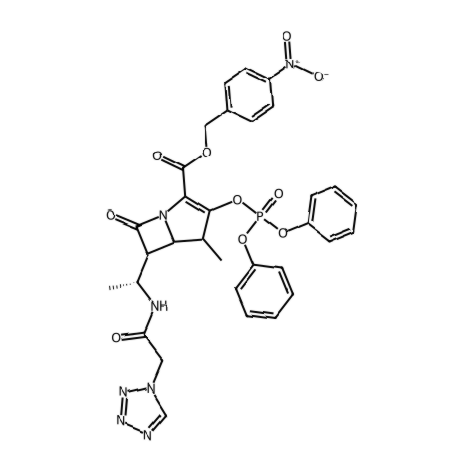 CC1C(OP(=O)(Oc2ccccc2)Oc2ccccc2)=C(C(=O)OCc2ccc([N+](=O)[O-])cc2)N2C(=O)C([C@@H](C)NC(=O)Cn3cnnn3)C12